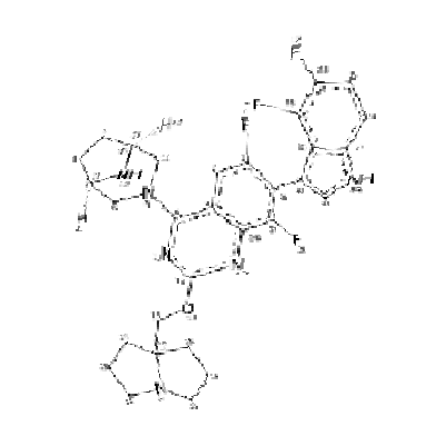 Fc1cc2c(N3C[C@H]4CC[C@@H](C3)N4)nc(OCC34CCCN3CCC4)nc2c(F)c1-c1c[nH]c2ccc(F)c(F)c12